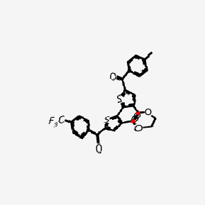 Cc1ccc(C(=O)c2cc3c(s2)-c2sc(C(=O)c4ccc(C(F)(F)F)cc4)cc2C24OCCOC32OCCO4)cc1